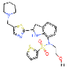 CCOCCN(c1cccc2c1NC(c1ncc(CN3CCCCC3)s1)C2)S(=O)(=O)c1cccs1